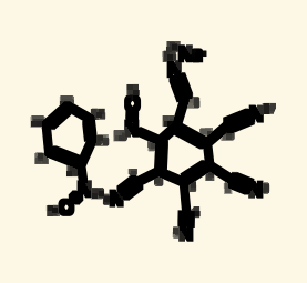 N#Cc1c(C#N)c(C#N)c(N=O)c(C#N)c1C#N.O=Nc1ccccc1.[Na]